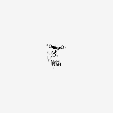 O=[Si]([O-])[O-].[Li+].[Li+].[NaH].[NaH]